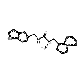 N[C@@H](Cc1cccc2ccccc12)C(=O)NCc1cnc2[nH]ccc2c1